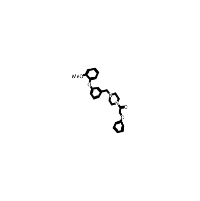 COc1ccccc1Oc1cccc(CN2CCN(C(=O)COc3ccccc3)CC2)c1